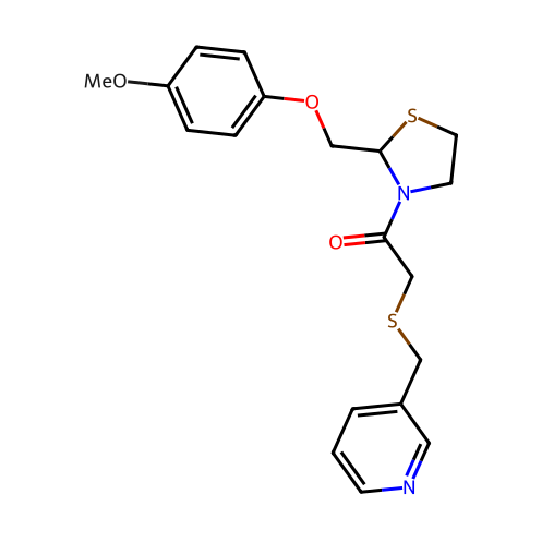 COc1ccc(OCC2SCCN2C(=O)CSCc2cccnc2)cc1